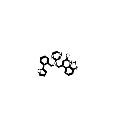 O=c1cc(CN(Cc2ccccc2-c2ccco2)c2cnccn2)c2cccc(F)c2[nH]1